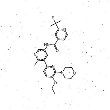 CCOc1ccc(-c2cc(NC(=O)c3ccnc(C(C)(C)F)c3)cnc2C)nc1N1CCOCC1